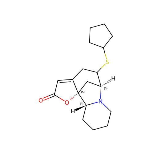 O=C1C=C2CC(SC3CCCC3)[C@@H]3C[C@@]2(O1)[C@H]1CCCCN31